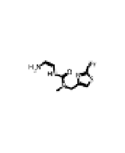 CC(C)c1nc(CN(C)C(=O)N/C=C\N)cs1